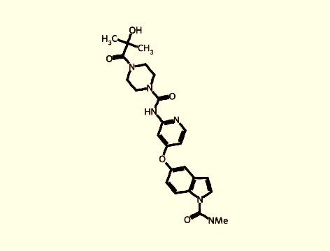 CNC(=O)n1ccc2cc(Oc3ccnc(NC(=O)N4CCN(C(=O)C(C)(C)O)CC4)c3)ccc21